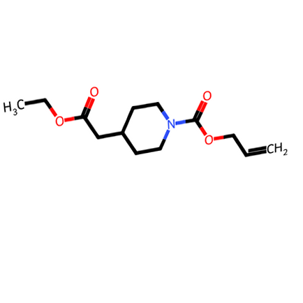 C=CCOC(=O)N1CCC(CC(=O)OCC)CC1